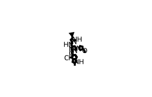 COC1CCN(c2cc(Nc3cc(C4CC4)[nH]n3)nc(Oc3ccc4[nH]c(C)cc4c3Cl)n2)C1